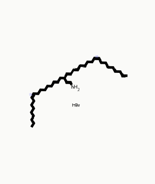 Br.CCCCCCCC/C=C\CCCCCCCCC(CCN)CCCCCCCC/C=C\CCCCCCCC